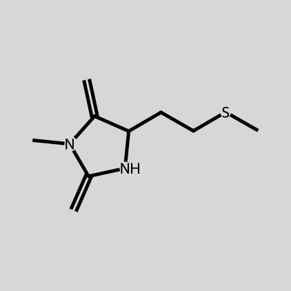 C=C1NC(CCSC)C(=C)N1C